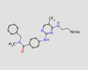 CC(=O)NCCNc1nc(Nc2ccc(C(=O)N(C)Cc3ccccc3)cc2)ncc1C(F)(F)F